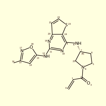 C=CC(=O)N1CC[C@@H](Nc2nc(Nc3cc(C)no3)nc3ccsc23)C1